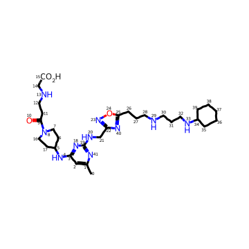 Cc1cc(NC2CCN(C(=O)CCNCC(=O)O)CC2)nc(NCc2noc(CCCNCCCNC3CCCCC3)n2)n1